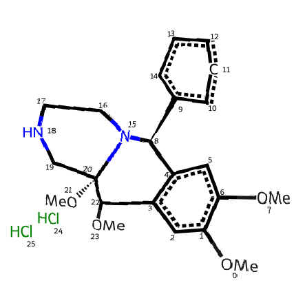 COc1cc2c(cc1OC)[C@H](c1ccccc1)N1CCNC[C@]1(OC)C2OC.Cl.Cl